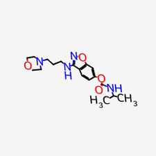 CC(C)NC(=O)Oc1ccc2c(NCCCN3CCOCC3)noc2c1